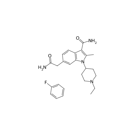 CCN1CCC(n2c(C)c(C(N)=O)c3ccc(CC(N)=O)cc32)CC1.Fc1ccccc1